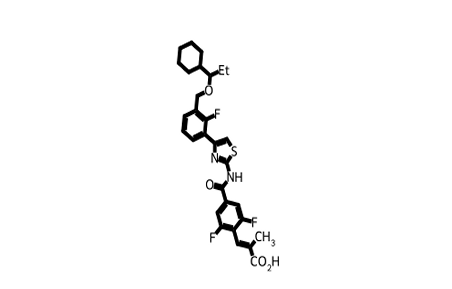 CCC(OCc1cccc(-c2csc(NC(=O)c3cc(F)c(C=C(C)C(=O)O)c(F)c3)n2)c1F)C1CCCCC1